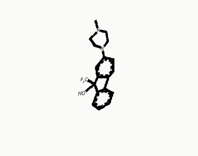 CN1CCN(c2ccc3c(c2)C(O)(C(F)(F)F)c2ccccc2-3)CC1